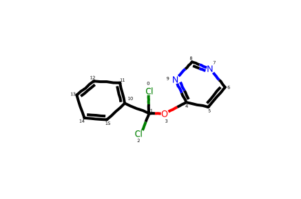 ClC(Cl)(Oc1ccncn1)c1ccccc1